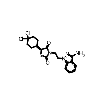 Nc1nn(CCN2C(=O)SC(=C3CCC(Cl)(Cl)CC3)C2=O)c2ccccc12